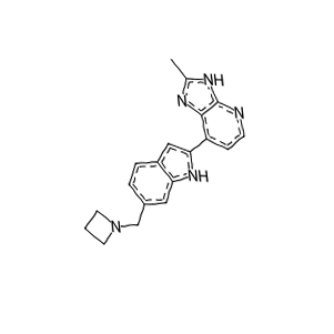 Cc1nc2c(-c3cc4ccc(CN5CCC5)cc4[nH]3)ccnc2[nH]1